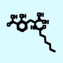 CCCCCCC(=O)NC(Cc1cccc(C(=O)O)c1O)B(O)O